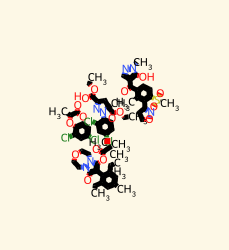 CC(Oc1ccc(Cl)cc1Cl)C(=O)O.CCOC(=O)C1=NN(c2ccc(Cl)cc2Cl)C(C)(C(=O)OCC)C1.CCc1cc(C)cc(CC)c1-c1c(OC(=O)C(C)(C)C)n2n(c1=O)CCOCC2.Cc1c(C(=O)c2cnn(C)c2O)ccc(S(C)(=O)=O)c1C1=NOCC1